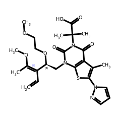 C=C/C(=C(\C)OC)[C@H](Cn1c(=O)n(C(C)(C)C(=O)O)c(=O)c2c(C)c(-n3cccn3)sc21)OCCOC